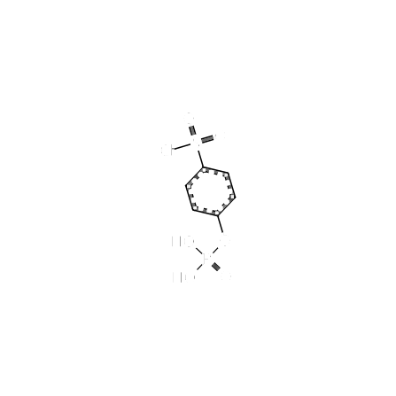 O=P(O)(O)Oc1ccc(S(=O)(=O)Cl)cc1